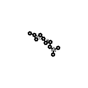 c1ccc(-c2ccc3c(c2)c2ccccc2n3-c2cccc3c2oc2cc(-c4cccc5c4oc4cccc(-c6cccc(-c7nc(-c8ccccc8)nc(-c8ccccc8)n7)c6)c45)ccc23)cc1